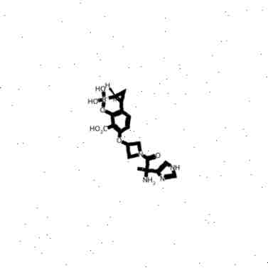 CC(N)(C(=O)N1CC(Oc2ccc3c(c2C(=O)O)O[B-](O)(O)[C@@H]2CC32)C1)c1c[nH]cn1